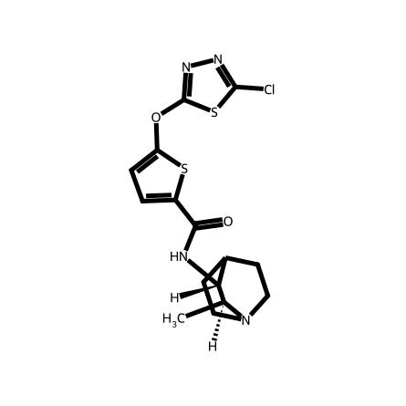 C[C@H]1[C@H](NC(=O)c2ccc(Oc3nnc(Cl)s3)s2)C2CCN1CC2